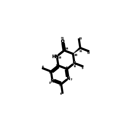 Cc1nc(C)c2c(n1)N(C)[C@@H](C(C)C)C(=O)N2